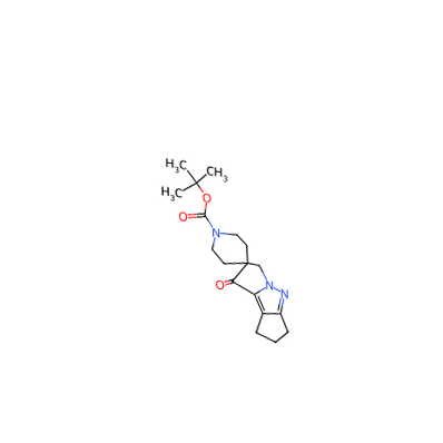 CC(C)(C)OC(=O)N1CCC2(CC1)Cn1nc3c(c1C2=O)CCC3